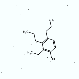 CCCc1ccc(O)c(CC)c1CCC